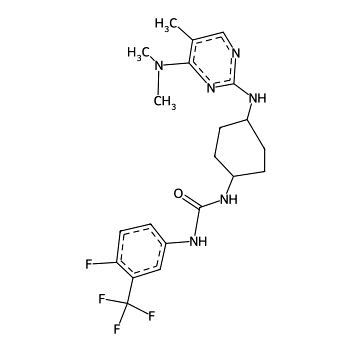 Cc1cnc(NC2CCC(NC(=O)Nc3ccc(F)c(C(F)(F)F)c3)CC2)nc1N(C)C